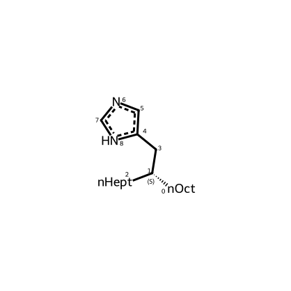 CCCCCCCC[C@H](CCCCCCC)Cc1cnc[nH]1